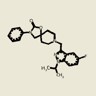 CC(C)n1nc(CN2CCC3(CC2)CN(c2ccccc2)C(=O)O3)c2cc(F)ccc21